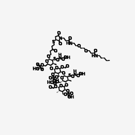 CCCCCNC(=O)CCOCCOCCNC(=O)CCN1C(=O)CC(SCCC(=O)CCO[C@@H]2OC(COS(=O)(=O)O)[C@@H](O[C@@H]3OC(OC=O)[C@@H](O[C@H]4O[C@@H](COOO)[C@@H](O[C@@H]5O[C@@H](OC=O)[C@@H](C)C(C)C5OS(=O)(=O)O)C(C)C4SONOO)[C@@H](C)C3OS(=O)(=O)O)[C@H](C)C2SONOO)C1=O